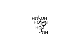 C[C@H](O)[C@H](O)[C@H](O)c1cncc(C[C@@H](O)[C@H](C)O)n1